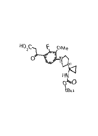 COc1c(N2CC[C@@H](C3(NC(=O)OC(C)(C)C)CC3)C2)ccc(C(=O)CC(=O)O)c1F